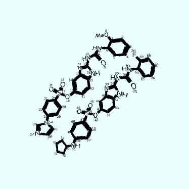 COc1ccccc1NC(=O)Nc1nc2cc(OS(=O)(=O)c3ccc(-n4ccnc4)cc3)ccc2[nH]1.O=C(Nc1nc2cc(OS(=O)(=O)c3ccc(NC4CCCC4)cc3)ccc2[nH]1)Nc1ccccc1F